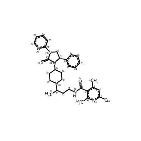 Cc1cc(Cl)nc(C)c1C(=O)NCCC(C)N1CCC(N2C(=S)N(c3ccccn3)C[C@H]2c2ccccc2)CC1